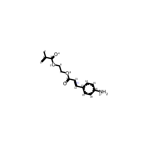 C=C(C)C(=O)OCCOC(=O)/C=C/c1ccc(N)cc1